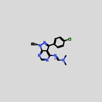 CN(C)/C=N/c1ncnc2c1c(-c1ccc(Cl)cc1)nn2C(C)(C)C